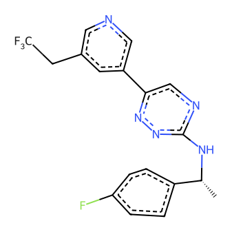 C[C@@H](Nc1ncc(-c2cncc(CC(F)(F)F)c2)nn1)c1ccc(F)cc1